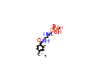 Cc1ccc(C(=O)NCCNCOP(=O)(O)O)cc1